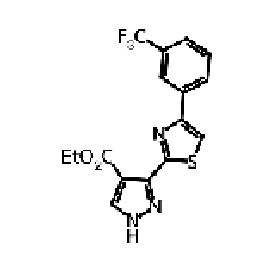 CCOC(=O)c1c[nH]nc1-c1nc(-c2cccc(C(F)(F)F)c2)cs1